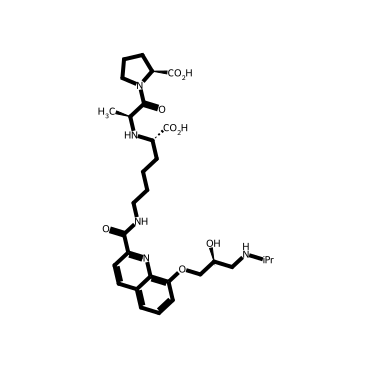 CC(C)NC[C@H](O)COc1cccc2ccc(C(=O)NCCCC[C@H](N[C@@H](C)C(=O)N3CCC[C@H]3C(=O)O)C(=O)O)nc12